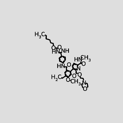 C=Cc1cc(C(=O)Nc2ccc(C(=N)NC(=O)OCCCCCC)cc2)c(-c2ccc(C(=O)NC)nc2C(=O)OCCN2CCOCC2)cc1OC